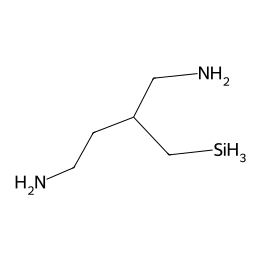 NCCC(CN)C[SiH3]